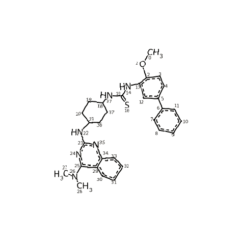 COc1ccc(-c2ccccc2)cc1NC(=S)NC1CCC(Nc2nc(N(C)C)c3ccccc3n2)CC1